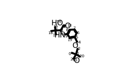 CC1(COCc2cccc(NC(C(=O)O)C(C)(C)C)c2)COC1